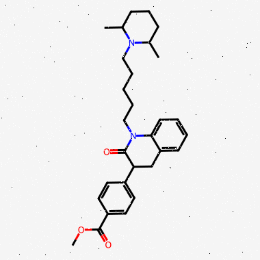 COC(=O)c1ccc(C2Cc3ccccc3N(CCCCCN3C(C)CCCC3C)C2=O)cc1